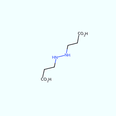 O=C(O)CCNNCCC(=O)O